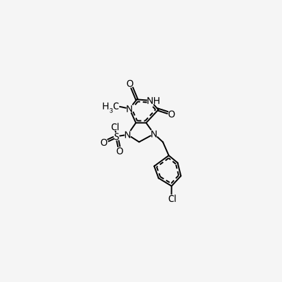 Cn1c2c(c(=O)[nH]c1=O)N(Cc1ccc(Cl)cc1)CN2S(=O)(=O)Cl